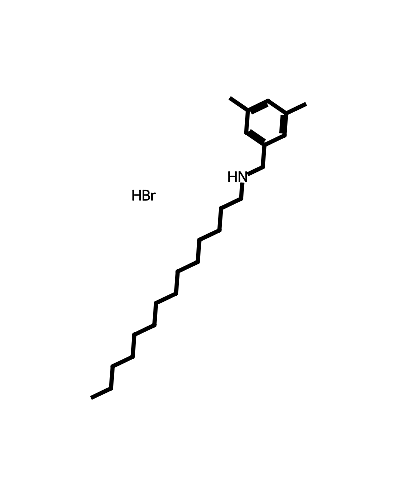 Br.CCCCCCCCCCCCCCNCc1cc(C)cc(C)c1